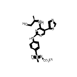 CCOC(=O)N=S(C)(=O)c1ccc(Nc2ncc(-c3cncs3)c(N[C@H](C)CO)n2)cc1